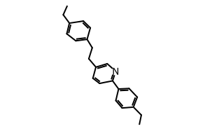 CCc1ccc(CCc2ccc(-c3ccc(CC)cc3)nc2)cc1